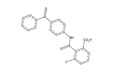 O=C(c1ccccc1)c1ccc(NC(=O)c2c(F)cccc2C(=O)O)cc1